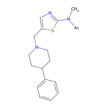 CC(=O)N(C)c1ncc(CN2CCC(c3ccccc3)CC2)s1